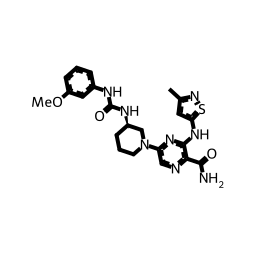 COc1cccc(NC(=O)N[C@@H]2CCCN(c3cnc(C(N)=O)c(Nc4cc(C)ns4)n3)C2)c1